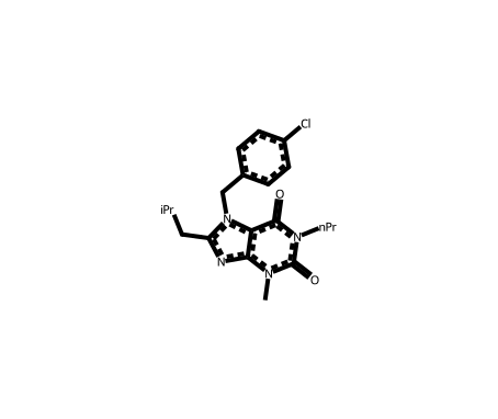 CCCn1c(=O)c2c(nc(CC(C)C)n2Cc2ccc(Cl)cc2)n(C)c1=O